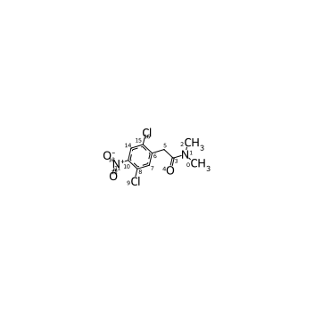 CN(C)C(=O)Cc1cc(Cl)c([N+](=O)[O-])cc1Cl